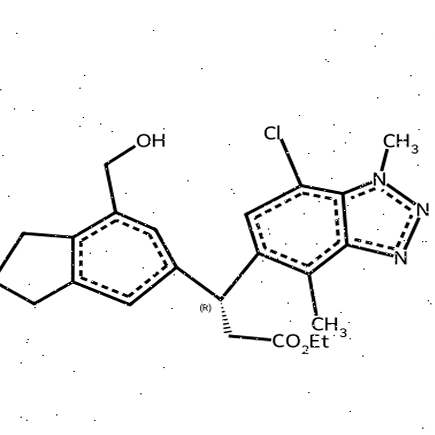 CCOC(=O)C[C@H](c1cc(CO)c2c(c1)CCC2)c1cc(Cl)c2c(nnn2C)c1C